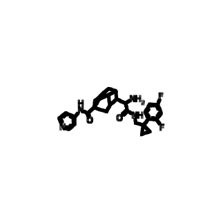 NC(C(=O)NCC1(c2ccc(F)cc2F)CC1)C1C2CC3CC1CC(C(=O)Nc1ccncc1)(C3)C2